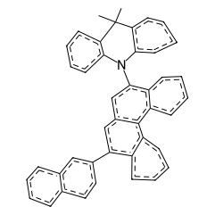 CC1(C)c2ccccc2N(c2cc3cc(-c4ccc5ccccc5c4)c4ccccc4c3c3ccccc23)c2ccccc21